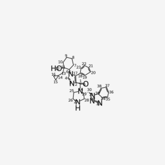 O=C(c1ncn([C@@H]2CCCC[C@@]2(O)CC2CC2)c1-c1ccccc1)N1CCNC[C@H]1Cn1nnc2ccccc21